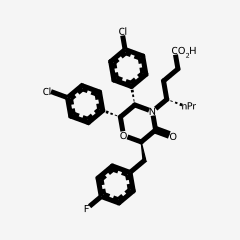 CCC[C@@H](CCC(=O)O)N1C(=O)[C@@H](Cc2ccc(F)cc2)O[C@H](c2ccc(Cl)cc2)[C@@H]1c1ccc(Cl)cc1